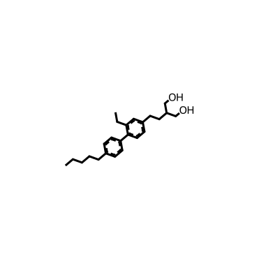 CCCCCc1ccc(-c2ccc(CCC(CO)CO)cc2CC)cc1